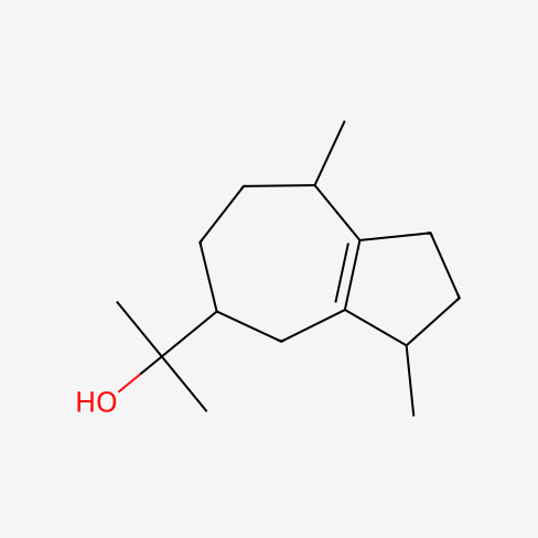 CC1CCC(C(C)(C)O)CC2=C1CCC2C